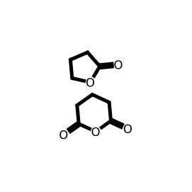 O=C1CCCC(=O)O1.O=C1CCCO1